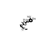 CCSC(=O)C1CCN1C(=O)[C@@H](C)NC(=O)C(O)Cc1ccc(O)c(O)c1